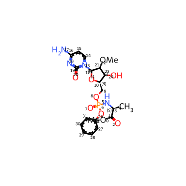 COC(=O)[C@H](C)NP(=O)(OC[C@H]1O[C@@H](n2ccc(N)nc2=O)C(OC)[C@H]1O)Oc1ccccc1